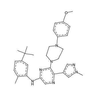 COc1ccc(N2CCN(c3nc(Nc4cc(C(C)(C)C)ccc4C)cnc3-c3cnn(C)c3)CC2)cc1